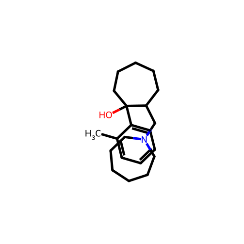 Cc1ccccc1C1(O)CCCCCC1CN1CCCCCC1